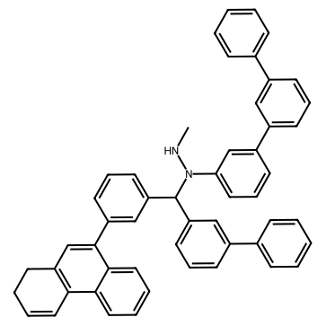 CNN(c1cccc(-c2cccc(-c3ccccc3)c2)c1)C(c1cccc(-c2ccccc2)c1)c1cccc(-c2cc3c(c4ccccc24)C=CCC3)c1